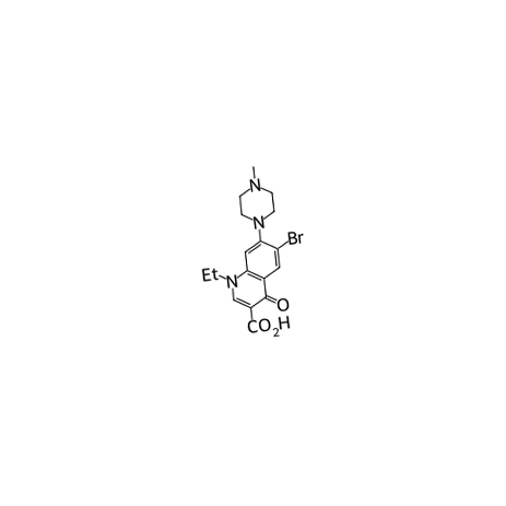 CCn1cc(C(=O)O)c(=O)c2cc(Br)c(N3CCN(C)CC3)cc21